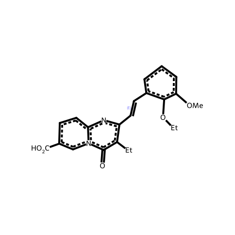 CCOc1c(/C=C/c2nc3ccc(C(=O)O)cn3c(=O)c2CC)cccc1OC